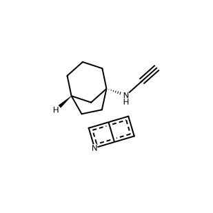 C#CN[C@]12CCC[C@@H](CC1)C2.c1cc2ncc1-2